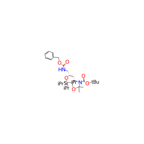 CC(C)[Si](O[C@H](CNC(=O)OCc1ccccc1)C[C@H]1COC(C)(C)N1C(=O)OC(C)(C)C)(C(C)C)C(C)C